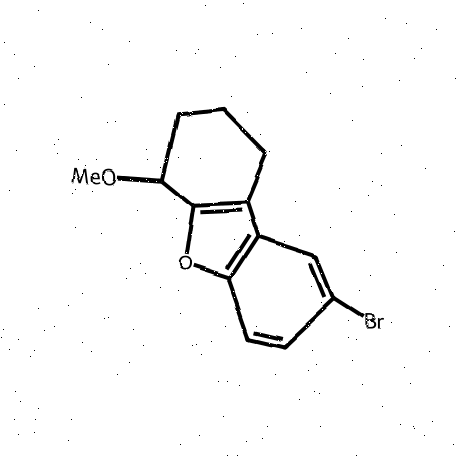 COC1CCCc2c1oc1ccc(Br)cc21